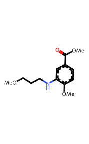 COCCCNc1cc(C(=O)OC)ccc1OC